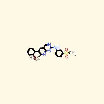 CS(=O)(=O)c1cccc(Nc2ncc3cc(-c4ccccc4Br)c(C(=O)O)nc3n2)c1